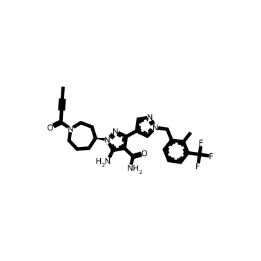 CC#CC(=O)N1CCC[C@H](n2nc(-c3cnn(Cc4cccc(C(F)(F)F)c4C)c3)c(C(N)=O)c2N)CC1